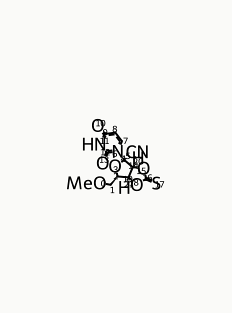 COC[C@H]1O[C@@](C#N)(n2ccc(=O)[nH]c2=O)[C@@H]2OC(=S)O[C@@H]21